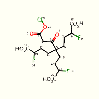 O=C(CC(=O)C(CCC(F)C(=O)O)(CCC(F)C(=O)O)CCC(F)C(=O)O)OCl